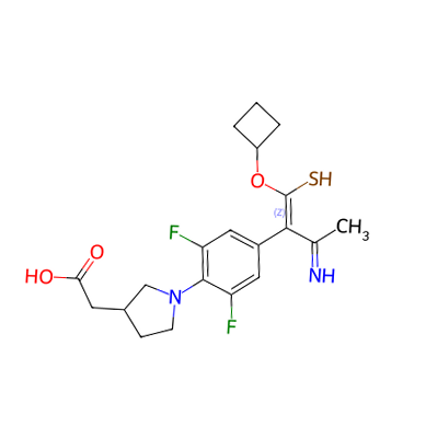 CC(=N)/C(=C(\S)OC1CCC1)c1cc(F)c(N2CCC(CC(=O)O)C2)c(F)c1